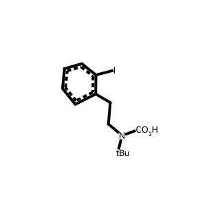 CC(C)(C)N(CCc1ccccc1I)C(=O)O